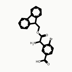 NC(C(=O)OCC1c2ccccc2-c2ccccc21)c1cc(C(=O)O)ccc1Br